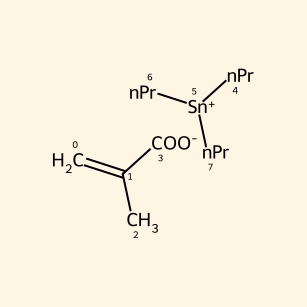 C=C(C)C(=O)[O-].CC[CH2][Sn+]([CH2]CC)[CH2]CC